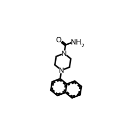 NC(=O)N1CCN(c2cccc3ccccc23)CC1